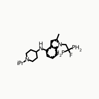 Cc1cc2c(NC3CCN(C(C)C)CC3)cccc2n1CC(F)(P)P